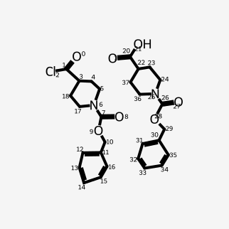 O=C(Cl)C1CCN(C(=O)OCc2ccccc2)CC1.O=C(O)C1CCN(C(=O)OCc2ccccc2)CC1